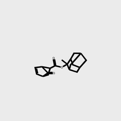 CC1(OC(=O)C2CC3C=CC2C3=O)C2CC3CC(C2)CC1C3